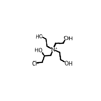 OCC[N+](CCO)(CCO)CC(O)CCl